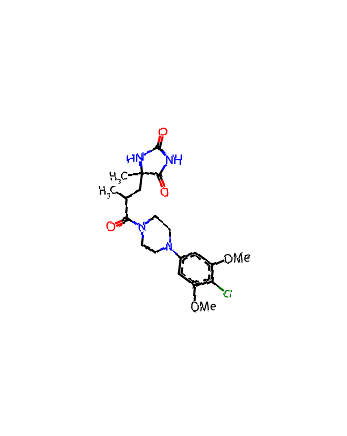 COc1cc(N2CCN(C(=O)C(C)CC3(C)NC(=O)NC3=O)CC2)cc(OC)c1Cl